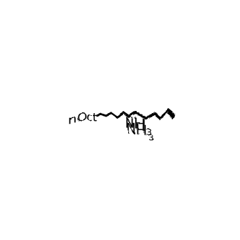 C=CCCCCCCCCCCCCCCCCCC.N.N